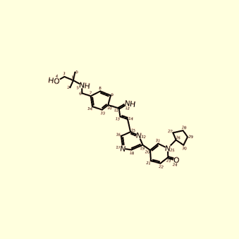 CC(C)(CO)NCc1ccc(C(=N)/C=C/c2cncc(-c3ccc(=O)n(C4CCCC4)c3)n2)cc1